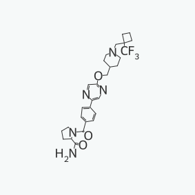 NC(=O)C1CCCN1C(=O)c1ccc(-c2cnc(OCC3CCN(CC4(C(F)(F)F)CCC4)CC3)cn2)cc1